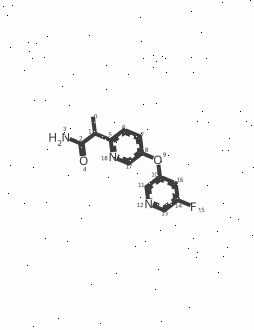 CC(C(N)=O)c1ccc(Oc2cncc(F)c2)cn1